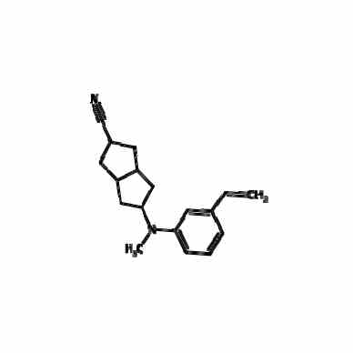 C=Cc1cccc(N(C)C2CC3CC(C#N)CC3C2)c1